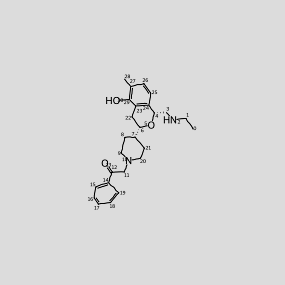 CCNC[C@@H]1O[C@H](C2CCN(CC(=O)c3ccccc3)CC2)Cc2c1ccc(C)c2O